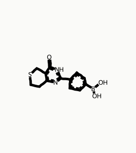 O=c1[nH]c(-c2ccc(B(O)O)cc2)nc2c1CSCC2